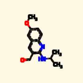 COc1ccc2nc(NC(C)C)c(C=O)cc2c1